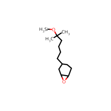 CC(C)(CCCCC1CCC2OC2C1)O[SiH3]